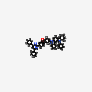 c1ccc(-c2cc(-c3ccccc3)nc(-c3ccc4c(c3)oc3ccc(-n5c6ccccc6c6c5ccc5c7ccccc7n(-c7ccccc7)c56)cc34)n2)cc1